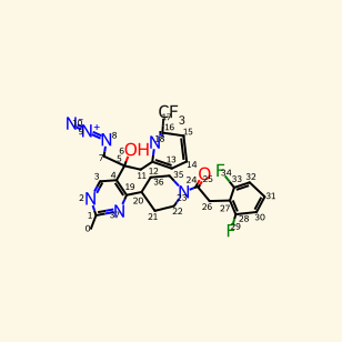 Cc1ncc(C(O)(CN=[N+]=[N-])Cc2cccc(C(F)(F)F)n2)c(C2CCN(C(=O)Cc3c(F)cccc3F)CC2)n1